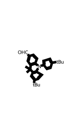 CC(C)(C)c1ccc(N2c3ccc(C=O)cc3C(C)(C)c3cc(C(C)(C)C)ccc32)cc1